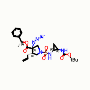 C=CC[C@H]1CN(S(=O)(=O)N[C@@H]2C[C@H]2NC(=O)OC(C)(C)C)C[C@@]1(N=[N+]=[N-])C(=O)O[C@H](C)c1ccccc1